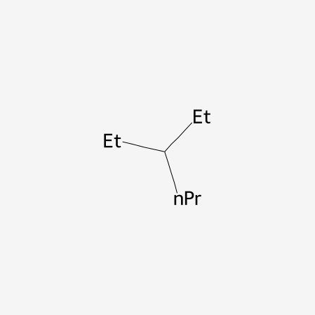 [CH2]CCC(C[CH2])CC